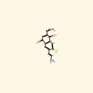 C=CC1=CC(=O)c2cc(/C=C/C)c(S)cc2C1=O